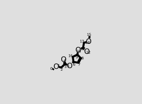 COCC(=O)OC1C=CC(OC(=O)COC)C1